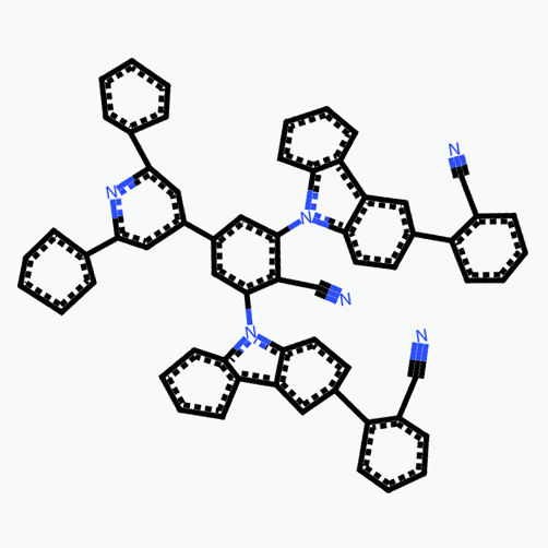 N#Cc1ccccc1-c1ccc2c(c1)c1ccccc1n2-c1cc(-c2cc(-c3ccccc3)nc(-c3ccccc3)c2)cc(-n2c3ccccc3c3cc(-c4ccccc4C#N)ccc32)c1C#N